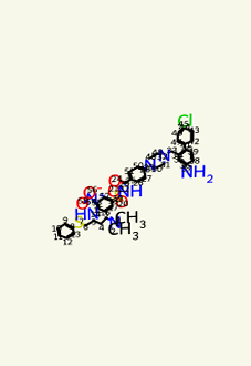 CN(C)CCC(CSc1ccccc1)Nc1ccc(S(=O)(=O)NC(=O)c2ccc(N3CCN(Cc4cc(N)ccc4-c4ccc(Cl)cc4)CC3)cc2)cc1[N+](=O)[O-]